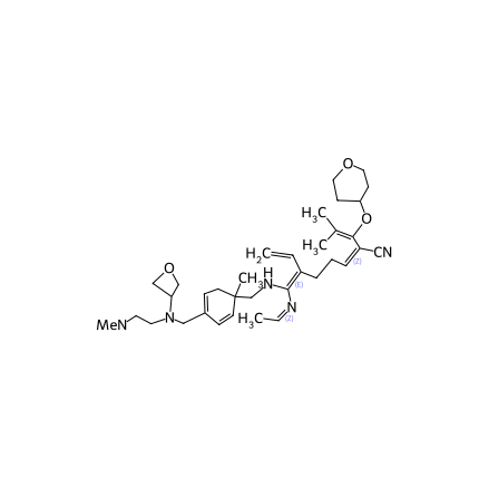 C=C/C(CC/C=C(/C#N)C(OC1CCOCC1)=C(C)C)=C(/N=C\C)NCC1(C)C=CC(CN(CCNC)C2COC2)=CC1